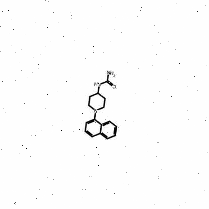 NC(=O)NC1CCN(c2cccc3ccccc23)CC1